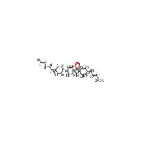 CCCCCCC1CCC([C@H]2CC[C@]3(CC2)C[C@@]2(CCC(CCCCC)CC2)C3=O)CC1